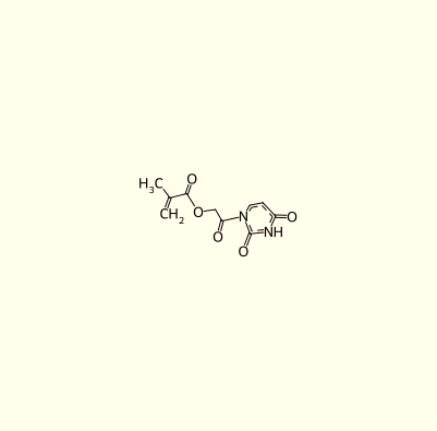 C=C(C)C(=O)OCC(=O)n1ccc(=O)[nH]c1=O